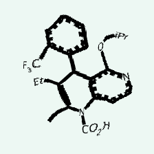 CCC1=C(C)N(C(=O)O)c2ccnc(OC(C)C)c2C1c1ccccc1C(F)(F)F